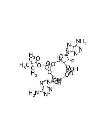 CC(C)(C)C(=O)OCOP1(=O)OC[C@H]2O[C@@H](n3cnc4c(N)ncnc43)C(F)C2OP(=O)(O)OC[C@H]2O[C@@H](n3cnc4c(N)ncnc43)C(O1)C2O